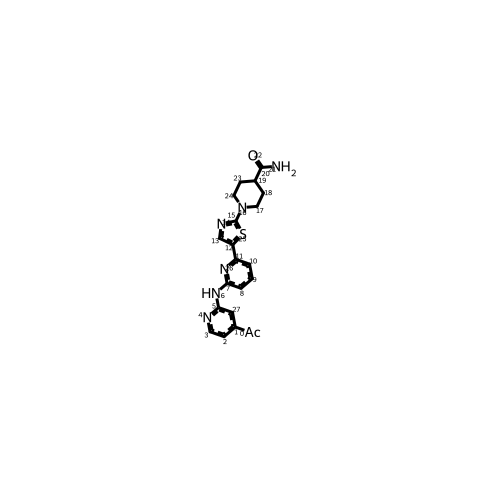 CC(=O)c1ccnc(Nc2cccc(-c3cnc(N4CCC(C(N)=O)CC4)s3)n2)c1